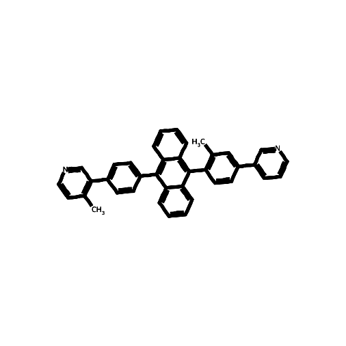 Cc1ccncc1-c1ccc(-c2c3ccccc3c(-c3ccc(-c4cccnc4)cc3C)c3ccccc23)cc1